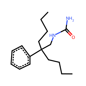 CCCCC(CCCC)(CNC(N)=O)c1ccccc1